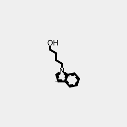 OCCCCn1c[c]c2ccccc21